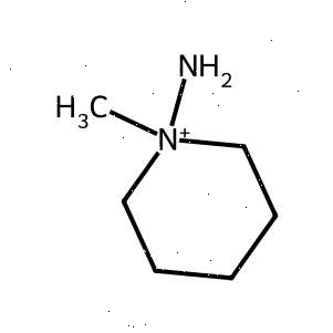 C[N+]1(N)CCCCC1